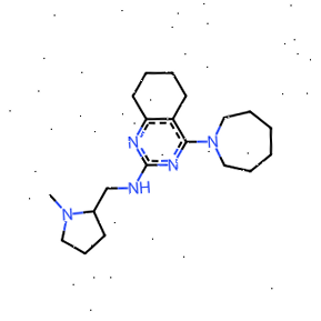 CN1CCCC1CNc1nc2c(c(N3CCCCCC3)n1)CCCC2